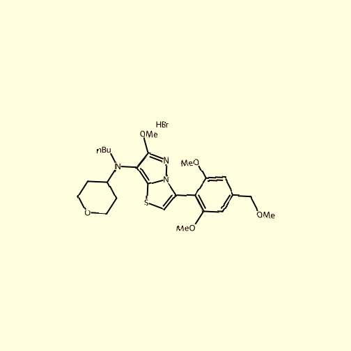 Br.CCCCN(c1c(OC)nn2c(-c3c(OC)cc(COC)cc3OC)csc12)C1CCOCC1